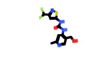 Cc1cc(NC(=O)Nc2cc(C(F)F)ns2)c(CO)cn1